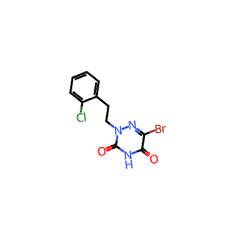 O=c1[nH]c(=O)n(CCc2ccccc2Cl)nc1Br